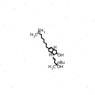 CCCC[C@](C)(O)C/C=C/[C@@H]1[C@H]2CC(CCCCCCN(C)C)=C[C@H]2C[C@H]1O